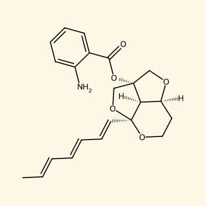 C/C=C/C=C/C=C/[C@]12OCC[C@@H]3OC[C@](OC(=O)c4ccccc4N)(CO1)[C@@H]32